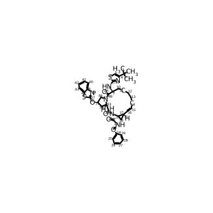 CC(C)(C)c1csc(N[C@H]2CCCCC/C=C\[C@@H]3C[C@@]3(C(=O)NOc3ccccc3)NC(=O)[C@@H]3C[C@@H](Oc4nc5ccccc5s4)CN3C2=O)n1